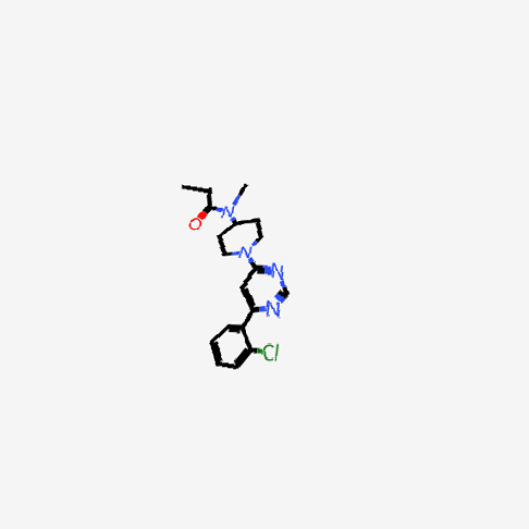 CCC(=O)N(C)C1CCN(c2cc(-c3ccccc3Cl)ncn2)CC1